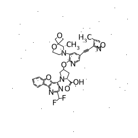 Cc1conc1C#Cc1cnc(O[C@H]2C[C@@H](C(=O)O)N(c3nc(C(F)F)nc4c3oc3ccccc34)C2)c(N2CCOC3(COC3)[C@@H]2C)c1